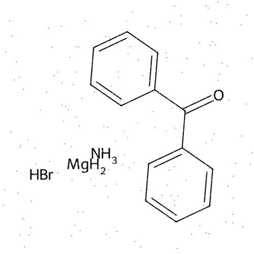 Br.N.O=C(c1ccccc1)c1ccccc1.[MgH2]